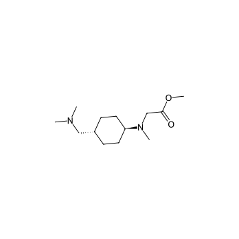 COC(=O)CN(C)[C@H]1CC[C@H](CN(C)C)CC1